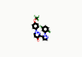 O=c1ccn(-c2ccc(OC(F)(F)F)cc2)nc1-c1ccnn1-c1cc(F)ccc1F